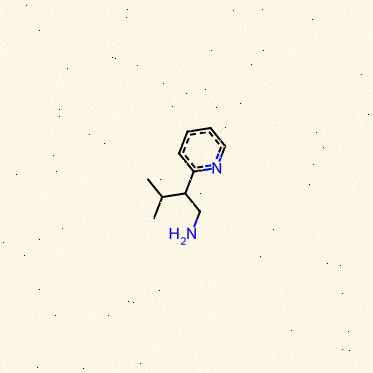 CC(C)C(CN)c1ccccn1